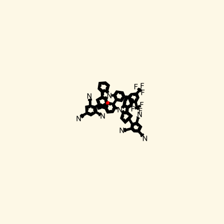 N#Cc1cc(C#N)c(-c2ccc3c(c2)c2ccccc2n3-c2ccc(C#N)cc2-c2cc(-c3cc(C(F)(F)F)cc(C(F)(F)F)c3)ccc2-n2c3ccccc3c3cc(-c4c(C#N)cc(C#N)cc4C#N)ccc32)c(C#N)c1